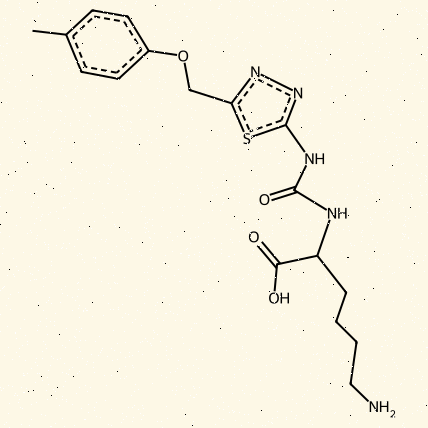 Cc1ccc(OCc2nnc(NC(=O)NC(CCCCN)C(=O)O)s2)cc1